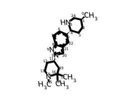 C[C@H]1CC[C@H](c2ccc3nn([C@H]4CCN(C)C(C)(C)C4)cc3c2)NC1